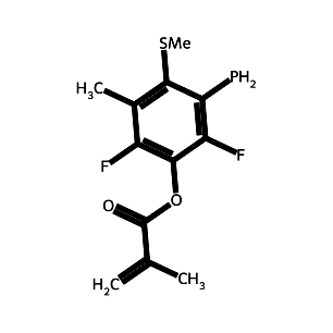 C=C(C)C(=O)Oc1c(F)c(C)c(SC)c(P)c1F